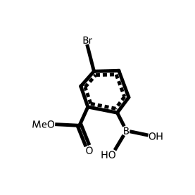 COC(=O)c1cc(Br)ccc1B(O)O